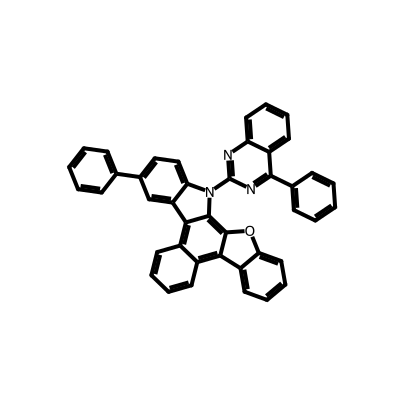 c1ccc(-c2ccc3c(c2)c2c4ccccc4c4c5ccccc5oc4c2n3-c2nc(-c3ccccc3)c3ccccc3n2)cc1